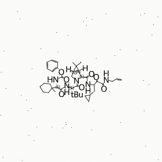 C=CCNC(=O)C(=O)C(CC1CC1)NC(=O)[C@@H]1[C@@H]2[C@H](CN1C(=O)[C@@H](NC(=O)[C@@H](NC(=O)Oc1ccccc1)C1(C)CCCCC1)C(C)(C)C)C2(C)C